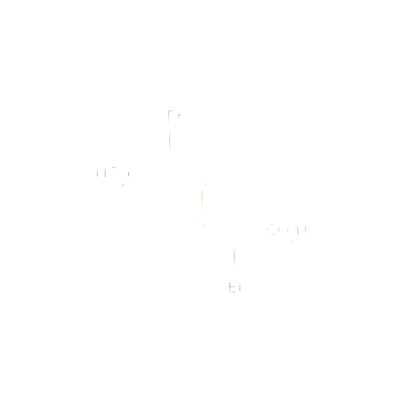 CCC(SSC(CC)C(=O)O)C(=O)O